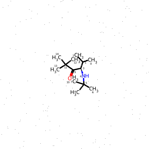 CC(C)[C@@H](NC(C)(C)C)C(=O)C(C)(C)C